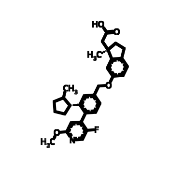 COc1cc(-c2ccc(COc3ccc4c(c3)[C@@](C)(CC(=O)O)CC4)cc2[C@@H]2CCCC2C)c(F)cn1